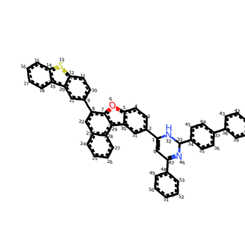 C1=C(c2ccc3oc4c(-c5ccc6sc7ccccc7c6c5)cc5ccccc5c4c3c2)NC(c2ccc(-c3ccccc3)cc2)N=C1c1ccccc1